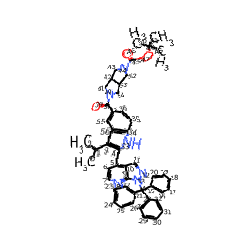 CC(C)c1c(-c2ccnc3c2cnn3C(c2ccccc2)(c2ccccc2)c2ccccc2)[nH]c2ccc(C(=O)N3CC4CN(C(=O)OC(C)(C)C)CC4C3)cc12